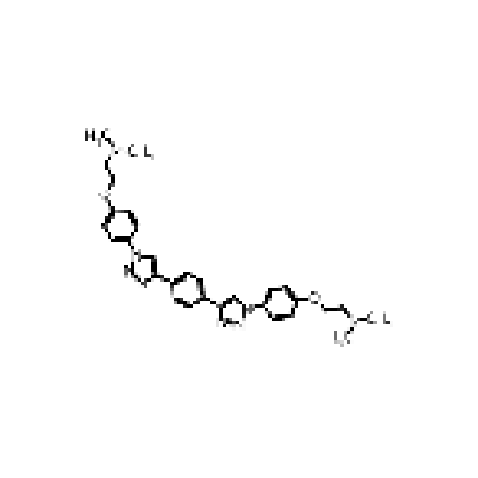 CN(C)CCOc1ccc(-n2cc(-c3ccc(-c4cn(-c5ccc(OCCN(C)C)cc5)nn4)cc3)nn2)cc1